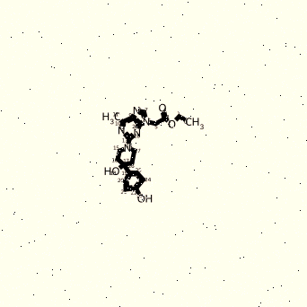 CCOC(=O)Cn1cnc2c(C)nc(N3CCC(O)(c4ccc(O)cc4)CC3)nc21